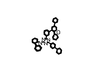 c1ccc(-c2ccc(-c3nc(-c4cccc(-c5cc(-c6ccccc6)cc6oc7ccccc7c56)c4)nc(-n4c5ccccc5c5ccccc54)n3)cc2)cc1